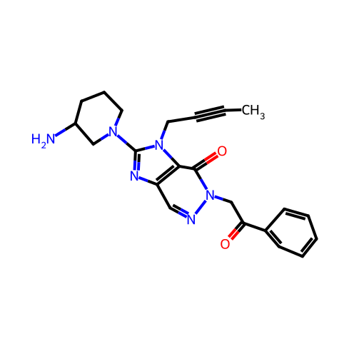 CC#CCn1c(N2CCCC(N)C2)nc2cnn(CC(=O)c3ccccc3)c(=O)c21